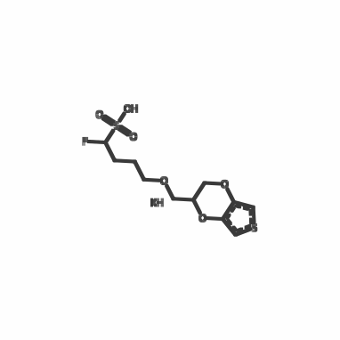 O=S(=O)(O)C(F)CCCOCC1COc2cscc2O1.[KH]